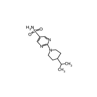 CC(C)C1CCN(c2ncc(S(N)(=O)=O)cn2)CC1